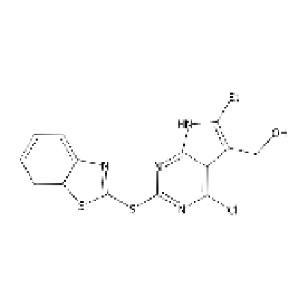 CCc1[nH]c2nc(Sc3nc4ccccc4s3)nc(Cl)c2c1CO